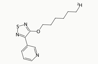 [2H]CCCCCCOc1nsnc1-c1cccnc1